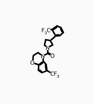 O=C(N1CCC(c2ccccc2C(F)(F)F)C1)N1CCOc2ccc(C(F)(F)F)cc21